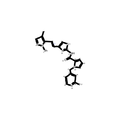 Cc1cnn(C(C)C)c1/C=C/c1csc(NC(=O)c2cccn2Cc2ccnc(F)c2)n1